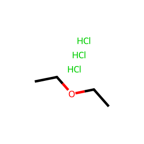 CCOCC.Cl.Cl.Cl